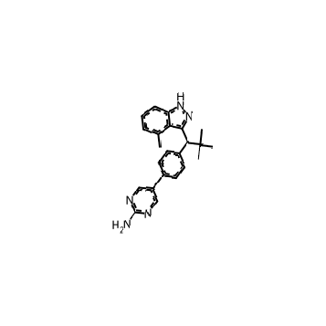 Cc1cccc2[nH]nc(C(c3ccc(-c4cnc(N)nc4)cc3)C(C)(C)C)c12